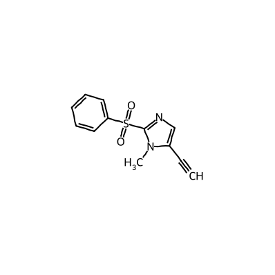 C#Cc1cnc(S(=O)(=O)c2ccccc2)n1C